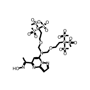 CC(=NO)c1cc(N(COCC[Si](S(C)(=O)=O)(S(C)(=O)=O)S(C)(=O)=O)COCC[Si](S(C)(=O)=O)(S(C)(=O)=O)S(C)(=O)=O)n2nccc2n1